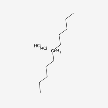 CCCC[CH2][GeH2][CH2]CCCC.Cl.Cl